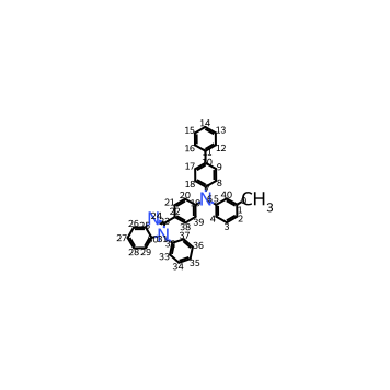 Cc1cccc(N(c2ccc(-c3ccccc3)cc2)c2ccc(-c3nc4ccccc4n3-c3ccccc3)cc2)c1